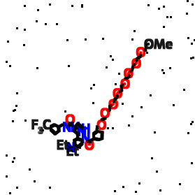 CCN(CC)c1ccc(NC(=O)c2cccc(COCCOCCOCCOCCOCCOCCOCCOCCOC)c2)c(-c2cc(C(=O)NCc3cccc(C(F)(F)F)c3)ccn2)c1